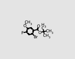 COc1cc(C(=O)OC(C)(C)C)c(Br)cc1F